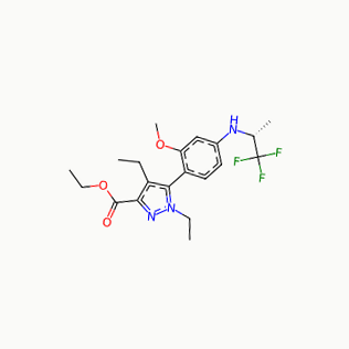 CCOC(=O)c1nn(CC)c(-c2ccc(N[C@H](C)C(F)(F)F)cc2OC)c1CC